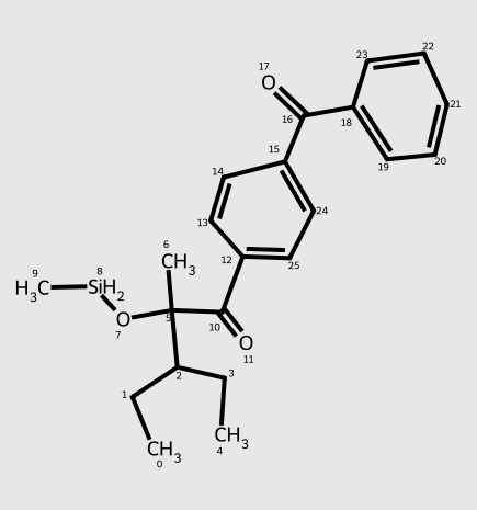 CCC(CC)C(C)(O[SiH2]C)C(=O)c1ccc(C(=O)c2ccccc2)cc1